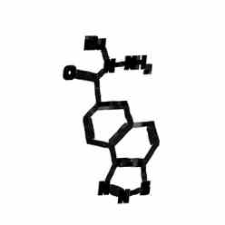 CCC(C)N(N)C(=O)c1ccc2c(ccc3snnc32)c1